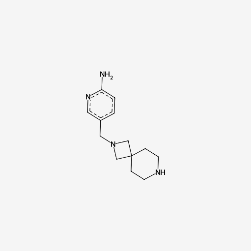 Nc1ccc(CN2CC3(CCNCC3)C2)cn1